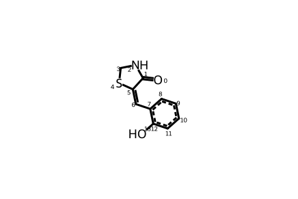 O=C1NCS/C1=C/c1ccccc1O